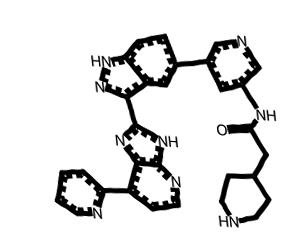 O=C(CC1CCNCC1)Nc1cncc(-c2ccc3[nH]nc(-c4nc5c(-c6ccccn6)ccnc5[nH]4)c3c2)c1